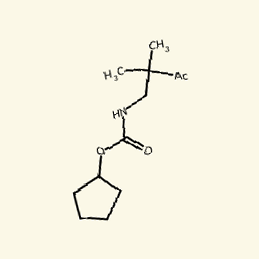 CC(=O)C(C)(C)CNC(=O)OC1CCCC1